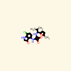 Cc1ccc(C(Nc2c(Nc3ccc(Cl)c4c3C(=O)CN4)c(=O)c2=O)C(C)C)o1